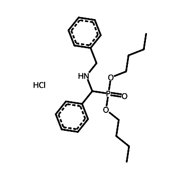 CCCCOP(=O)(OCCCC)C(NCc1ccccc1)c1ccccc1.Cl